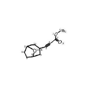 CC(C)(C)OC(=O)C#CC1CC2CCC(C1)O2